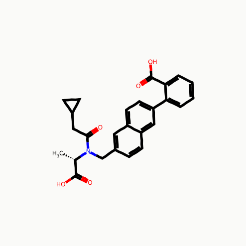 C[C@@H](C(=O)O)N(Cc1ccc2cc(-c3ccccc3C(=O)O)ccc2c1)C(=O)CC1CC1